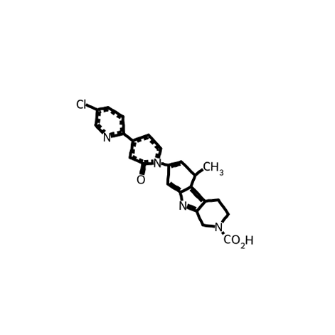 CC1C=C(n2ccc(-c3ccc(Cl)cn3)cc2=O)C=C2N=C3CN(C(=O)O)CCC3=C21